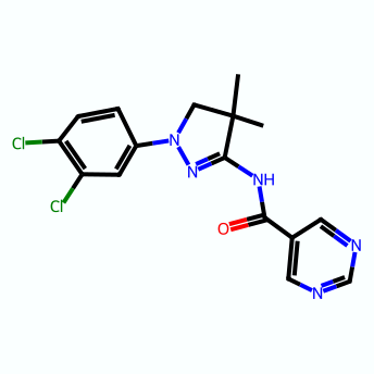 CC1(C)CN(c2ccc(Cl)c(Cl)c2)N=C1NC(=O)c1cncnc1